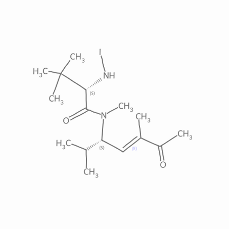 CC(=O)/C(C)=C/[C@H](C(C)C)N(C)C(=O)[C@@H](NI)C(C)(C)C